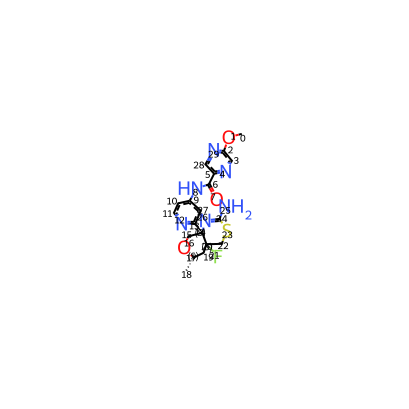 COc1cnc(C(=O)Nc2ccnc([C@]34CO[C@@H](C)C[C@@]3(F)CSC(N)=N4)c2)cn1